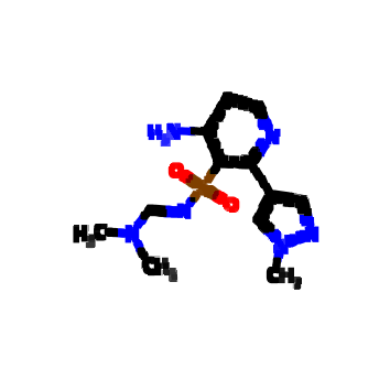 CN(C)C=NS(=O)(=O)c1c(N)ccnc1-c1cnn(C)c1